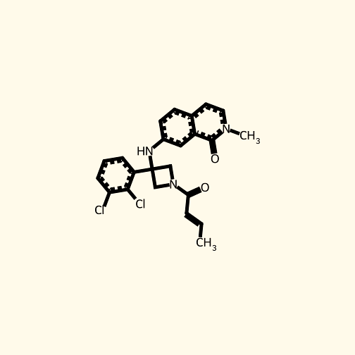 C/C=C/C(=O)N1CC(Nc2ccc3ccn(C)c(=O)c3c2)(c2cccc(Cl)c2Cl)C1